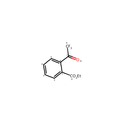 CCOC(=O)c1ccccc1C(=O)C(F)(F)F